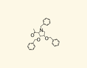 CC(=O)C1[C@@H](OCc2ccccc2)[C@H](OCc2ccccc2)CN1Cc1ccccc1